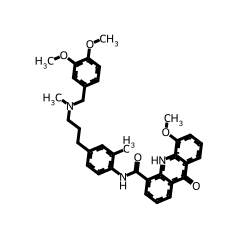 COc1ccc(CN(C)CCCc2ccc(NC(=O)c3cccc4c(=O)c5cccc(OC)c5[nH]c34)c(C)c2)cc1OC